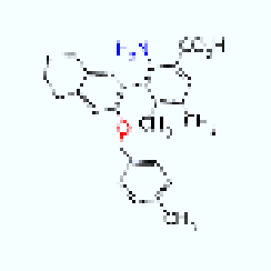 Cc1ccc(COc2cc3c(cc2-c2c(C)c(C)cc(C(=O)O)c2N)C=CCC3)cc1